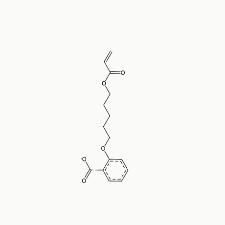 C=CC(=O)OCCCCCOc1ccccc1C([O])=O